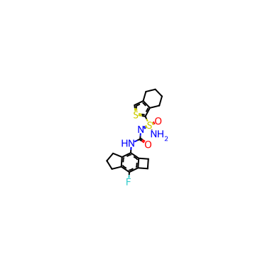 NS(=O)(=NC(=O)Nc1c2c(c(F)c3c1CC3)CCC2)c1scc2c1CCCC2